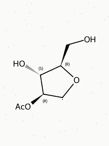 CC(=O)O[C@@H]1[CH]O[C@H](CO)[C@H]1O